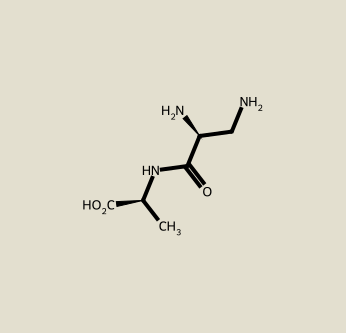 C[C@H](NC(=O)[C@@H](N)CN)C(=O)O